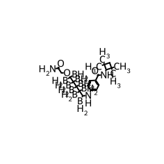 BC(Nc1ccc(C(=O)NC2C(C)(C)CC2(C)C)cc1)C(B)(B)C(B)(B)C(B)(B)C(B)(B)OCC(N)=O